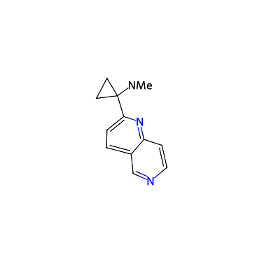 CNC1(c2ccc3cnccc3n2)CC1